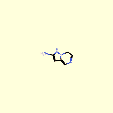 NC1=CC2=CN=CCN2N1